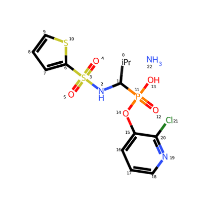 CC(C)C(NS(=O)(=O)c1cccs1)P(=O)(O)Oc1cccnc1Cl.N